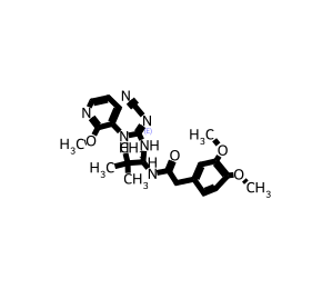 COc1ccc(CC(=O)NC(N/C(=N/C#N)Nc2cccnc2OC)C(C)(C)C)cc1OC